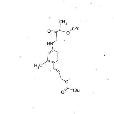 CCCOC(C)C(=O)CNc1ccc(/C=C/COC(=O)C(C)(C)C)c(C)c1